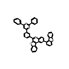 c1ccc(-c2cc(-c3cccc(-c4nc5ccc(-c6cccc7sc8ccccc8c67)cc5c5c4oc4ccccc45)c3)nc(-c3ccccc3)n2)cc1